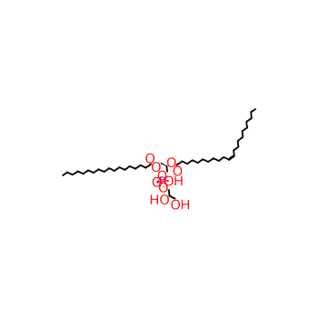 CCCCCCCCCC/C=C\CCCCCCCCCC(=O)O[C@H](COC(=O)CCCCCCCCCCCCCCCCC)COP(=O)(O)OC[C@@H](O)CO